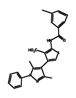 Cc1cccc(C(=O)Nc2scc(-c3c(C)nn(-c4ccccc4)c3C)c2C(=O)O)c1